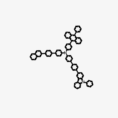 c1ccc(-c2c3ccccc3c(-c3ccc(N(c4ccc(-c5ccc(-c6ccc7ccccc7c6)cc5)cc4)c4ccc(-c5ccc(-c6ccc7c(c6)c6ccccc6n7-c6ccccc6)cc5)cc4)cc3)c3ccccc23)cc1